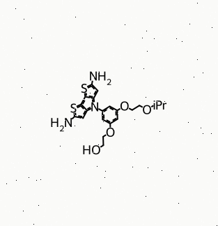 CC(C)OCCOc1cc(OCCO)cc(-n2c3cc(N)sc3c3sc(N)cc32)c1